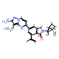 C=C(C)c1cc(-c2ccn3nc(N)c(C(=O)OCC)c3n2)cc2c1C(=O)N(C1(C)C3CC[C@H]31)C2